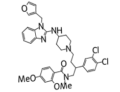 COc1ccc(C(=O)N(C)CC(CCN2CCC(Nc3nc4ccccc4n3Cc3ccoc3)CC2)c2ccc(Cl)c(Cl)c2)c(OC)c1